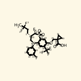 CC(F)(F)CC[C@H]1CN(c2cccc(F)c2)c2cc(C(F)(F)F)c(OCC3(C(=O)O)CC3)cc2S(=O)(=O)[C@H]1F